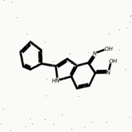 O/N=C1/C=Cc2[nH]c(-c3ccccc3)cc2/C1=N/O